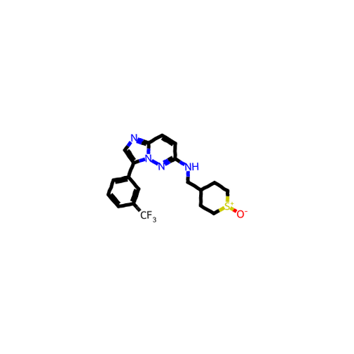 [O-][S+]1CCC(CNc2ccc3ncc(-c4cccc(C(F)(F)F)c4)n3n2)CC1